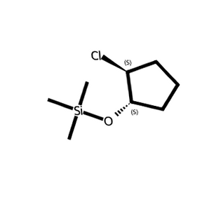 C[Si](C)(C)O[C@H]1CCC[C@@H]1Cl